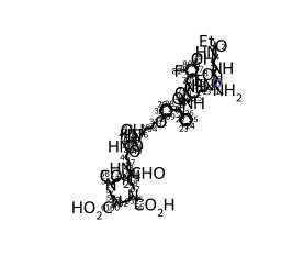 CCC(=O)NCCNC(=O)/N=C(/N)NCCC[C@@H](NC(=O)[C@@H](c1ccccc1)c1cccc(OCCCCNC(=O)[C@@H](CO)NC(=O)CCNC(C=O)N2CCN(CC(=O)O)CCN(CC(=O)O)CCN(CC(=O)O)CC2)c1)C(=O)NCc1c(F)cc(O)cc1F